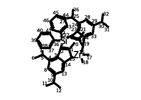 CC1=C2c3c(C(C)C)cc(C(C)C)cc3[CH]1[Zr]([CH3])([CH3])[CH]1C(C)=C(c3c(C(C)C)cc(C(C)C)cc31)[Si]2(c1ccccc1)c1ccccc1